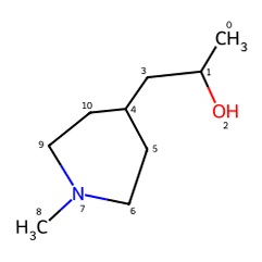 CC(O)CC1CCN(C)CC1